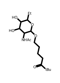 CCC1OC(OCCCCC(=O)C(C)(C)C)C(NC(C)=O)C(O)C1O